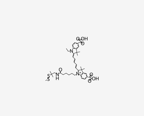 CCN1/C(=C/C=C/C=C/C2=[N+](CCCCCC(=O)NCC(C)(C)SSC)c3ccc(S(=O)(=O)O)cc3C2(C)C)C(C)(C)c2cc(S(=O)(=O)O)ccc21